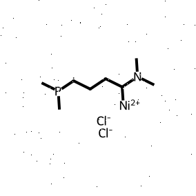 CN(C)[CH]([Ni+2])CC[CH]P(C)C.[Cl-].[Cl-]